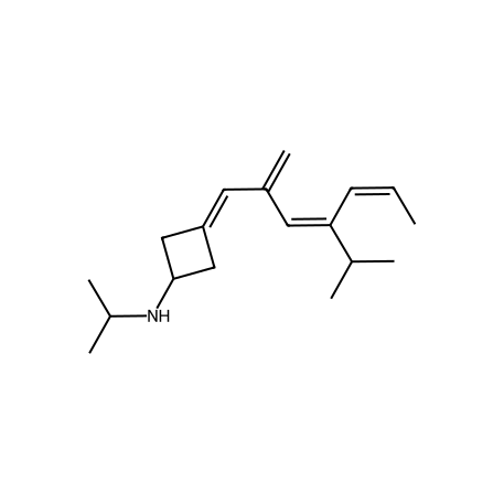 C=C(C=C1CC(NC(C)C)C1)/C=C(\C=C/C)C(C)C